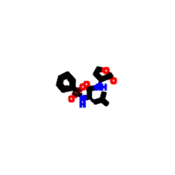 CC(C)C[C@H](NS(=O)(=O)c1ccccc1)C(=O)N[C@H]1CCOC1=O